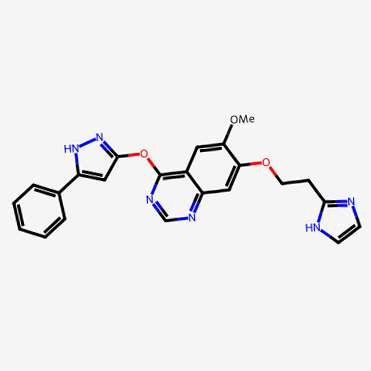 COc1cc2c(Oc3cc(-c4ccccc4)[nH]n3)ncnc2cc1OCCc1ncc[nH]1